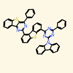 c1ccc(-c2nc(-c3cccc4c3sc3cccc(-c5nc(-c6ccccc6)c6sc7ccccc7c6n5)c34)nc(-n3c4ccccc4c4ccccc43)n2)cc1